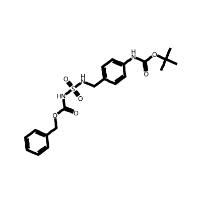 CC(C)(C)OC(=O)Nc1ccc(CNS(=O)(=O)NC(=O)OCc2ccccc2)cc1